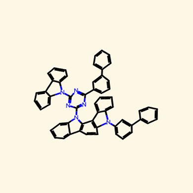 c1ccc(-c2cccc(-c3nc(-n4c5ccccc5c5ccccc54)nc(-n4c5ccccc5c5ccc6c(c7ccccc7n6-c6cccc(-c7ccccc7)c6)c54)n3)c2)cc1